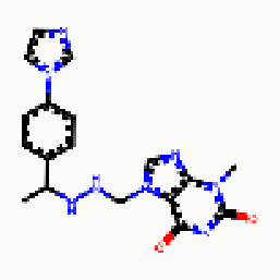 CC(NNCn1cnc2c1c(=O)[nH]c(=O)n2C)c1ccc(-n2ccnc2)cc1